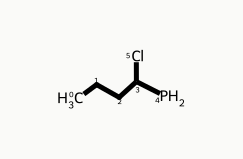 CCCC(P)Cl